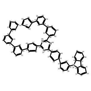 c1ccc(-c2cccc(-c3cccc(-c4ccc(-c5nc(-c6ccc(-c7cccc(-n8c9ccccc9c9ccccc98)c7)cc6)nc(-c6cccc(-c7cccc(-c8ccccc8)c7)c6)n5)cc4)c3)c2)cc1